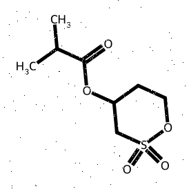 CC(C)C(=O)OC1CCOS(=O)(=O)C1